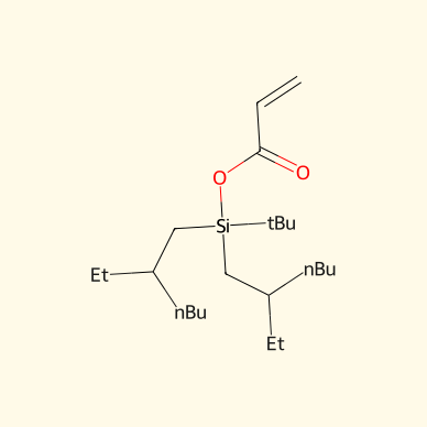 C=CC(=O)O[Si](CC(CC)CCCC)(CC(CC)CCCC)C(C)(C)C